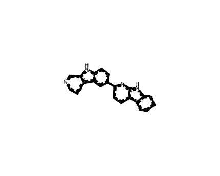 c1ccc2c(c1)[nH]c1nc(-c3ccc4[nH]c5cnccc5c4c3)ccc12